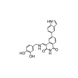 O=C1NC(=O)c2ccc(-c3ccc4[nH]ccc4c3)cc2C1=CNCc1ccc(O)c(O)c1